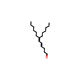 CCCCCCC(=C/C=C/CCC=O)CCCCCC